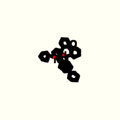 c1ccc(-c2ccc3c(c2)C(c2cccc4oc5cccc(-c6nc(-c7ccccc7)nc(-c7ccccc7)n6)c5c24)c2ccccc2-3)cc1